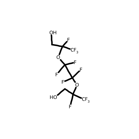 OCC(F)(OC(F)(F)C(F)(F)OC(F)(CO)C(F)(F)F)C(F)(F)F